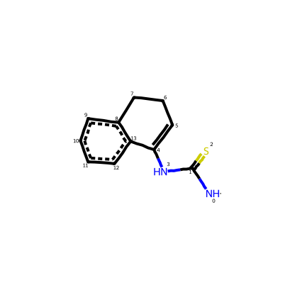 [NH]C(=S)NC1=CCCc2ccccc21